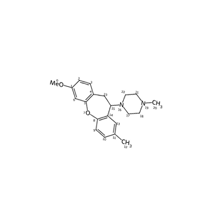 COc1ccc2c(c1)Oc1ccc(C)cc1C(N1CCN(C)CC1)C2